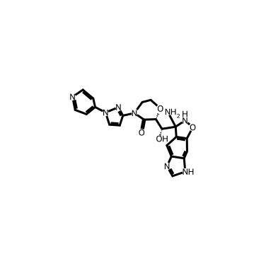 NC1([C@H](O)[C@H]2OCCN(c3ccn(-c4ccncc4)n3)C2=O)NOc2cc3[nH]cnc3cc21